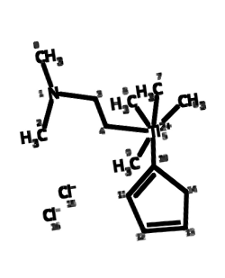 CN(C)C[CH2][Ti+2]([CH3])([CH3])([CH3])([CH3])[C]1=CC=CC1.[Cl-].[Cl-]